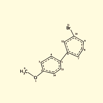 COc1ccc(-c2[c]ccc(Br)c2)cc1